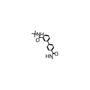 CNC(=O)c1ccc(-c2cccc(C(=O)NC(C)(C)C)c2)cc1